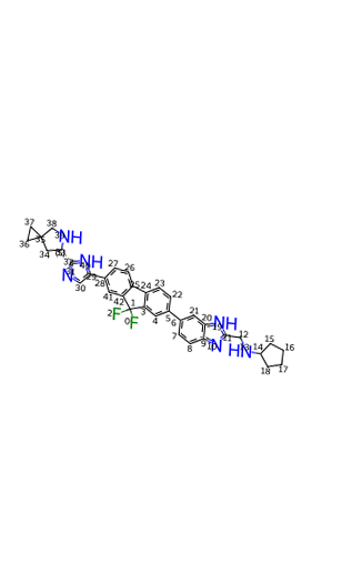 FC1(F)c2cc(-c3ccc4nc(CNC5CCCC5)[nH]c4c3)ccc2-c2ccc(-c3cnc([C@@H]4CC5(CC5)CN4)[nH]3)cc21